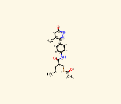 CCCC(CSC(C)=O)C(=O)Nc1ccc(C2=NNC(=O)CC2C)cc1